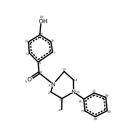 CC1CN(C(=O)c2ccc(O)cc2)CCN1c1ccccc1